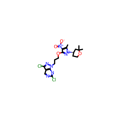 Cc1c([N+](=O)[O-])c(OCCCn2nc(Cl)c3cnc(Cl)nc32)nn1[C@@H]1CCOC(C)(C)C1